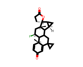 C[C@]12C=CC(=O)C=C1C1(CC1)CC1C2[C@@H](F)C[C@@]2(C)C1[C@@H]1CC1[C@@]21CCC(=O)O1